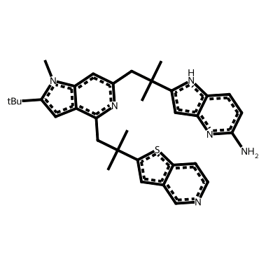 Cn1c(C(C)(C)C)cc2c(CC(C)(C)c3cc4cnccc4s3)nc(CC(C)(C)c3cc4nc(N)ccc4[nH]3)cc21